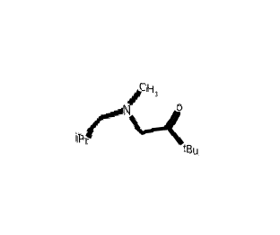 CC(C)CN(C)CC(=O)C(C)(C)C